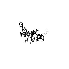 COc1nc(N[C@@H]2CCN(C3COC3)CC2(F)F)nn2cc(F)c(-c3cc(F)c4ncn(CCF)c4c3)c12